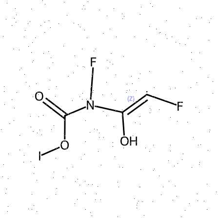 O=C(OI)N(F)/C(O)=[C]/F